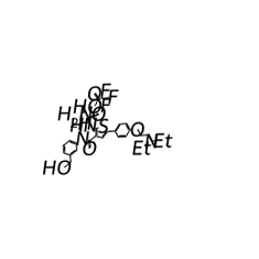 CCN(CC)CCOc1ccc(-c2cc(C(=O)Nc3cccc(CO)c3)c(NC(N)=O)s2)cc1.O=C(O)C(F)(F)F